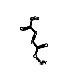 CCCOC(=O)/N=N/C(=O)OCC(C)C